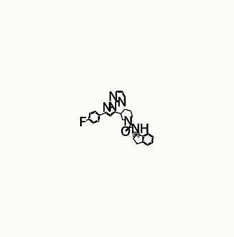 O=C(N[C@@H]1CCc2ccccc21)N1CCCC(c2cc(-c3ccc(F)cc3)nn2-c2ncccn2)C1